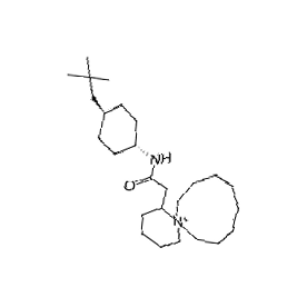 CC(C)(C)C[C@H]1CC[C@H](NC(=O)CC2CCCC[N+]23CCCCCCCC3)CC1